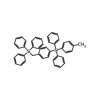 Cc1ccc([Si](c2ccccc2)(c2ccccc2)c2ccc(C[Si](c3ccccc3)(c3ccccc3)c3ccccc3)cc2)cc1